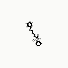 [O-][S+](c1ccccc1)C(F)(F)CCCCOc1ccccc1